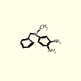 CN(Cc1ccccc1)c1ccc(N)c(N)c1